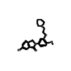 COc1ccc(N2Cc3ccc(Cl)cc3C2=O)cc1OCCN1CCCCC1